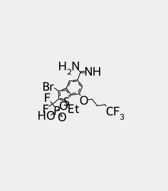 CCOP(=O)(O)C(F)(F)c1sc2c(OCCCC(F)(F)F)cc(C(=N)N)cc2c1Br